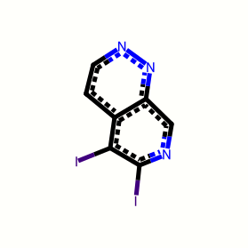 Ic1ncc2nnccc2c1I